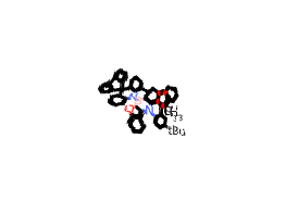 CC(C)(C)c1ccc(N2c3c4c(cc5c3C(C)(C)c3ccccc3-5)-c3cccc5c3N(B4c3oc4ccccc4c32)c2ccccc2C52c3ccccc3-c3ccccc32)c(-c2ccccc2)c1